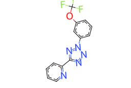 FC(F)(F)Oc1cccc(-n2nnc(-c3ccccn3)n2)c1